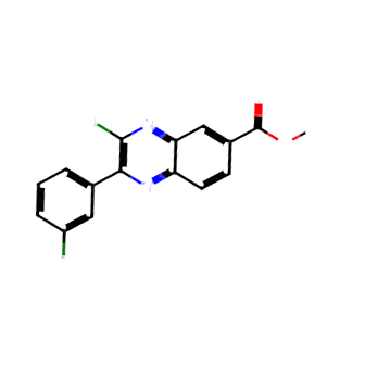 COC(=O)c1ccc2nc(-c3cccc(F)c3)c(Cl)nc2c1